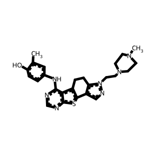 Cc1cc(Nc2ncnc3sc4c(c23)CCc2c-4cnn2CCN2CCN(C)CC2)ccc1O